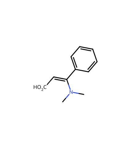 CN(C)C(=CC(=O)O)c1ccccc1